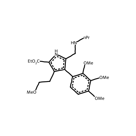 CCCNCc1[nH]c(C(=O)OCC)c(CCOC)c1-c1ccc(OC)c(OC)c1OC